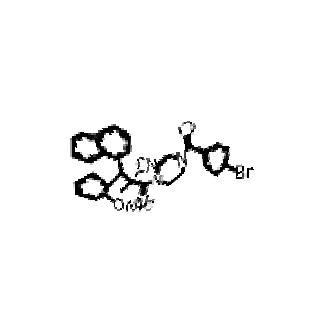 COc1ccccc1C(c1cccc2ccccc12)[C@@](C)(C#N)C(=O)N1CCN(C(=O)c2ccc(Br)cc2)CC1